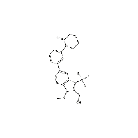 O=C1COCCN1c1cccc(-c2cnc3c(c2)c(C(F)(F)F)c(CO)n3SI)c1